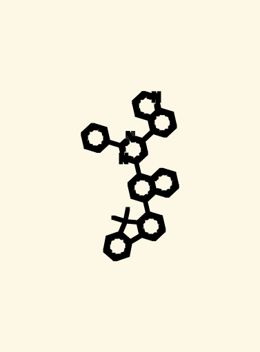 CC1(C)c2ccccc2-c2cccc(-c3ccc(-c4cc(-c5cccc6ncccc56)nc(-c5ccccc5)n4)c4ccccc34)c21